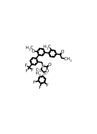 CCC(=O)c1ccc(-c2ccc(OC)c(-c3ccc(C(F)(F)F)cc3CN3C(=O)O[C@H](c4cc(F)c(F)c(F)c4)[C@@H]3C)c2)c(C)c1